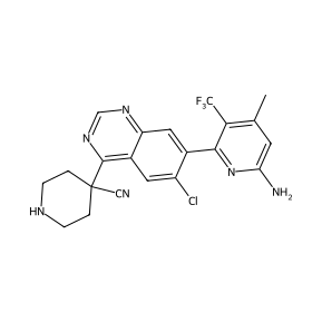 Cc1cc(N)nc(-c2cc3ncnc(C4(C#N)CCNCC4)c3cc2Cl)c1C(F)(F)F